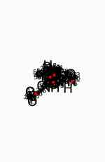 CC[C@H](C)[C@@H]([C@@H](CC(=O)N1CCCC1[C@H](OC)[C@@H](C)C(=O)NC(C)C(=NNC(=O)c1ccc(NC(=O)CCCCCN2C(=O)C=CC2=O)cc1S(=O)(=O)O)c1ccccc1)OC)N(C)C(=O)C(NC(=O)C(C(C)C)N(C)C)C(C)C